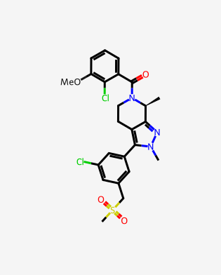 COc1cccc(C(=O)N2CCc3c(nn(C)c3-c3cc(Cl)cc(CS(C)(=O)=O)c3)[C@@H]2C)c1Cl